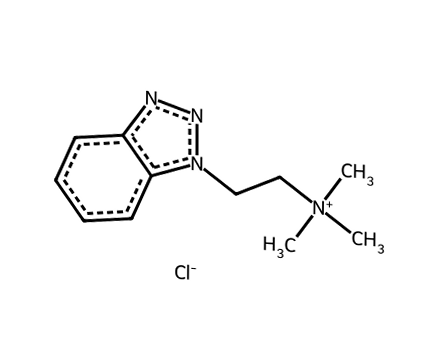 C[N+](C)(C)CCn1nnc2ccccc21.[Cl-]